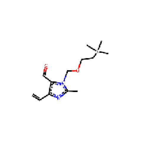 C=Cc1nc(C)n(COCC[Si](C)(C)C)c1C=O